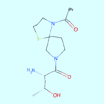 CC(C)C(=O)N1CCSC12CCN(C(=O)[C@@H](N)[C@@H](C)O)C2